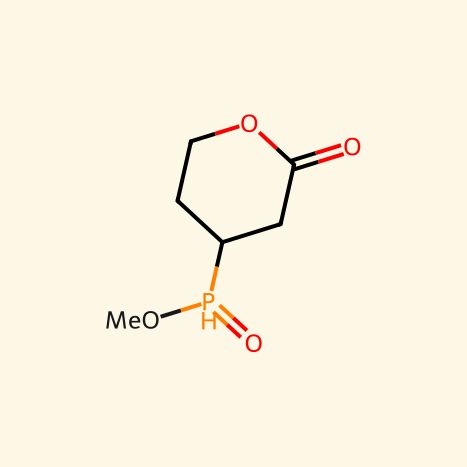 CO[PH](=O)C1CCOC(=O)C1